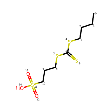 CCCCSC(=S)SCCCS(=O)(=O)O